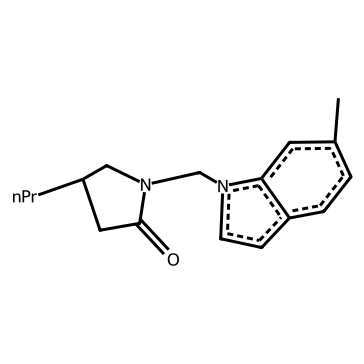 CCCC1CC(=O)N(Cn2ccc3ccc(C)cc32)C1